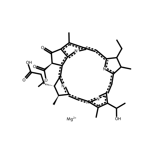 CCC1c2cc3[n-]c4c(c3C)C(=O)[C@H](C(=O)OC)c4c3nc(cc4[n-]c(cc(n2)C1C)c(C(C)O)c4C)[C@@H](C)[C@@H]3CCC(=O)O.[Mg+2]